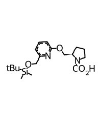 CC(C)(C)[Si](C)(C)OCc1cccc(OC[C@H]2CCCN2C(=O)O)n1